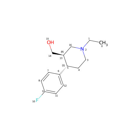 CCN1CC[C@H](c2ccc(F)cc2)[C@@H](CO)C1